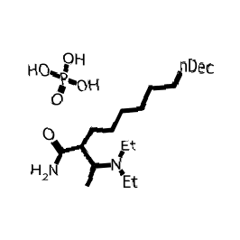 CCCCCCCCCCCCCCCCC(C(N)=O)C(C)N(CC)CC.O=P(O)(O)O